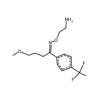 COCCC/C(=N/OCCN)c1ccc(C(C)(F)F)cc1